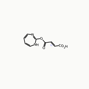 O=C(O)/C=C/C(=O)OC1=NC=CC=CN1